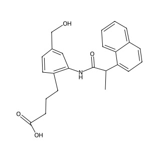 CC(C(=O)Nc1cc(CO)ccc1CCCC(=O)O)c1cccc2ccccc12